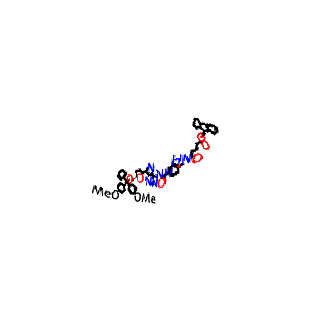 COc1ccc(C(OC[C@@H]2CCC(C3C=Nc4c(NC(=O)c5ccc(CNC(=O)CCCC(=O)OCC6c7ccccc7-c7ccccc76)cc5)ncnc43)O2)(c2ccccc2)c2ccc(OC)cc2)cc1